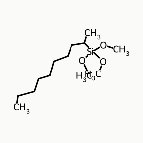 CCCCCCCCC(C)[Si](OC)(OC)OC